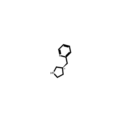 c1ccc(C[C@H]2CCNC2)nc1